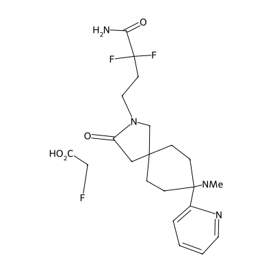 CNC1(c2ccccn2)CCC2(CC1)CC(=O)N(CCC(F)(F)C(N)=O)C2.O=C(O)CF